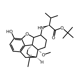 CO[C@@]12CCC(N[C@H](C(=O)OC(C)(C)C)C(C)C)C3Oc4c(O)ccc5c4[C@@]31CCN(C)[C@@H]2C5